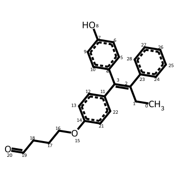 CCC(=C(c1ccc(O)cc1)c1ccc(OCCCC=O)cc1)c1ccccc1